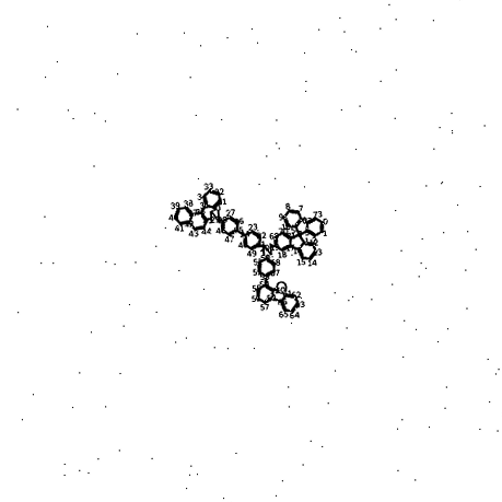 c1ccc(C2(c3ccccc3)c3ccccc3-c3cc(N(c4ccc(-c5ccc(-n6c7ccccc7c7c8ccccc8ccc76)cc5)cc4)c4ccc(-c5cccc6c5oc5ccccc56)cc4)ccc32)cc1